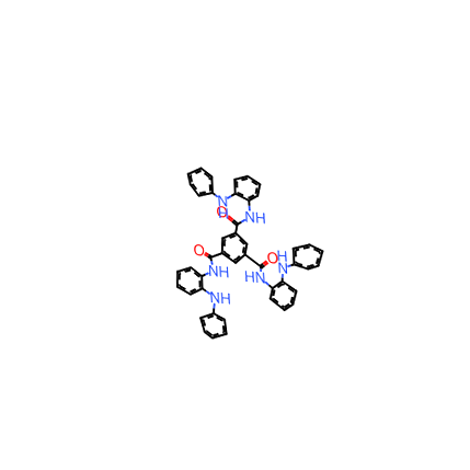 O=C(Nc1ccccc1Nc1ccccc1)c1cc(C(=O)Nc2ccccc2Nc2ccccc2)cc(C(=O)Nc2ccccc2Nc2ccccc2)c1